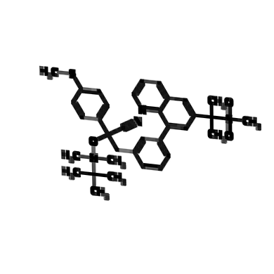 CSc1ccc(C(C#N)(Cc2cccc(-c3cc(C(C)(C)S(C)(=O)=O)cc4cccnc34)c2)O[Si](C)(C)C(C)(C)C)cc1